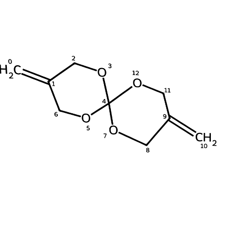 C=C1COC2(OC1)OCC(=C)CO2